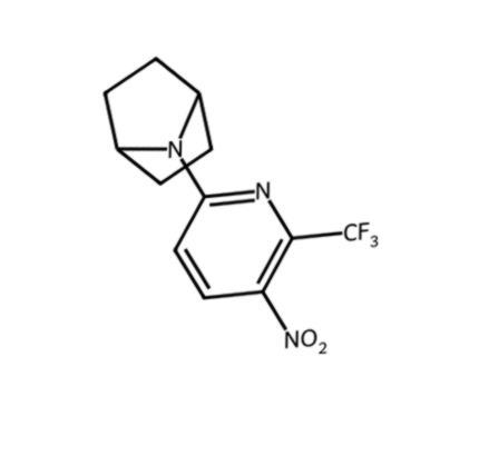 O=[N+]([O-])c1ccc(N2C3CCC2CC3)nc1C(F)(F)F